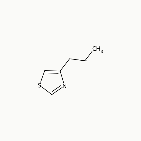 C[CH]Cc1cscn1